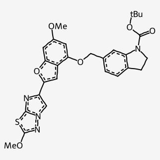 COc1cc(OCc2ccc3c(c2)N(C(=O)OC(C)(C)C)CC3)c2cc(-c3cn4nc(OC)sc4n3)oc2c1